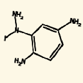 Nc1ccc(N)c(N(N)I)c1